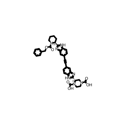 O=C(O)N1CCN(C(=O)O)[C@H](c2nc3cc(C#Cc4ccc5[nH]c([C@@H]6CCCCN6C(=O)OCc6ccccc6)nc5c4)ccc3[nH]2)C1